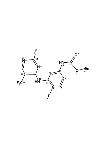 CC(C)(C)OC(=O)Nc1ccc(F)c(Nc2nc(Cl)ncc2C(F)(F)F)c1